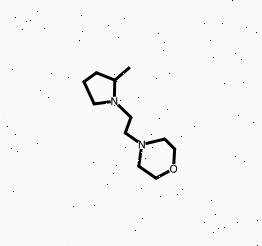 CC1CCCN1CCN1CCOCC1